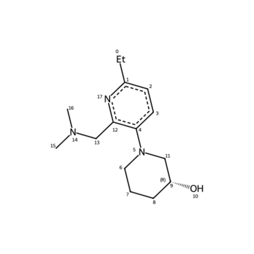 CCc1ccc(N2CCC[C@@H](O)C2)c(CN(C)C)n1